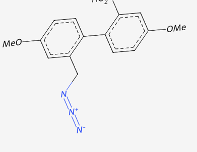 COc1ccc(-c2ccc(OC)cc2C(=O)O)c(CN=[N+]=[N-])c1